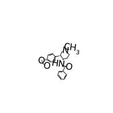 CN1CC[C@@H](NC(=O)c2ccccc2)[C@@H](c2ccc3c(c2)OCO3)C1